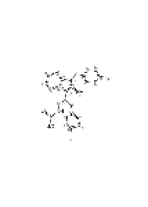 CCC(=O)NCC(Cc1ccc(C)cc1)n1c(=N)n(Cc2ccc(C)cc2)c2ccccc21